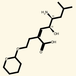 CC(C)C[C@H](N)[C@@H](O)C=C(CCOC1CCCCO1)C(=O)O